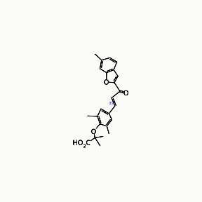 Cc1ccc2cc(C(=O)/C=C/c3cc(C)c(OC(C)(C)C(=O)O)c(C)c3)oc2c1